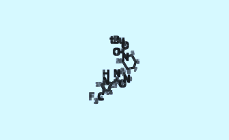 CC(C)(C)OC(=O)N1CCC[C@H](c2noc(-c3cc(C(F)(F)F)c[nH]3)n2)C1